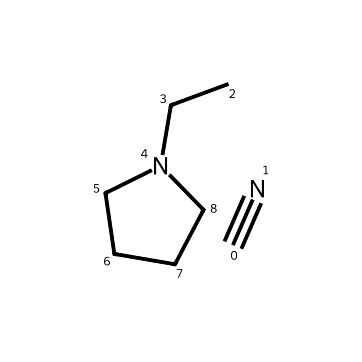 C#N.CCN1CCCC1